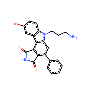 NCCCn1c2ccc(O)cc2c2c3c(c(-c4ccccc4)cc21)C(=O)NC3=O